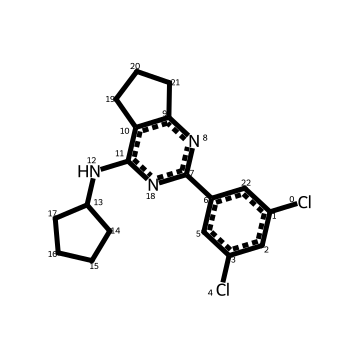 Clc1cc(Cl)cc(-c2nc3c(c(NC4CCCC4)n2)CCC3)c1